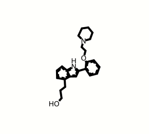 OCCCc1cccc2[nH]c(-c3ccccc3OCCN3CCCCC3)cc12